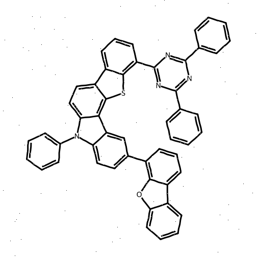 c1ccc(-c2nc(-c3ccccc3)nc(-c3cccc4c3sc3c4ccc4c3c3cc(-c5cccc6c5oc5ccccc56)ccc3n4-c3ccccc3)n2)cc1